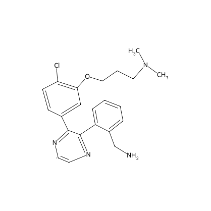 CN(C)CCCOc1cc(-c2n[c]cnc2-c2ccccc2CN)ccc1Cl